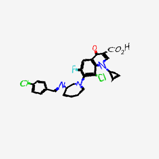 O=C(O)c1cn(C2CC2)c2c(Cl)c(N3CCCC[C@@H](/N=C/c4ccc(Cl)cc4)C3)c(F)cc2c1=O